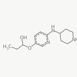 CCC(O)Oc1ccc(NC2CCNCC2)nc1